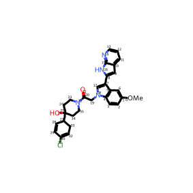 COc1ccc2c(c1)c(-c1cc3cccnc3[nH]1)cn2CC(=O)N1CCC(O)(C2C=CC(Cl)=CC2)CC1